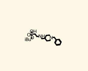 CCC(C)OP(=O)(O)CCNCC1CCN(Cc2ccccc2)CC1